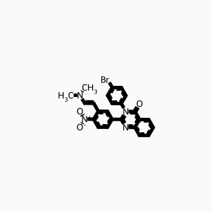 CN(C)C=Cc1cc(-c2nc3ccccc3c(=O)n2-c2ccc(Br)cc2)ccc1[N+](=O)[O-]